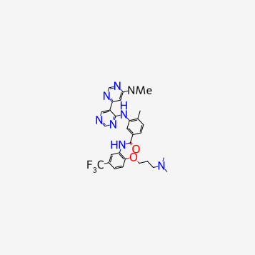 CNc1cc(-c2cncnc2Nc2cc(C(=O)Nc3cc(C(F)(F)F)ccc3OCCCN(C)C)ccc2C)ncn1